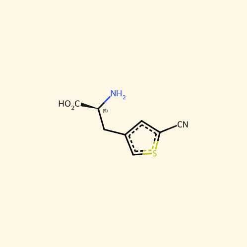 N#Cc1cc(C[C@H](N)C(=O)O)cs1